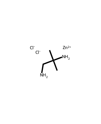 CC(C)(N)CN.[Cl-].[Cl-].[Zn+2]